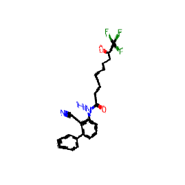 N#Cc1c(NC(=O)CCCCCCC(=O)C(F)(F)F)cccc1-c1ccccc1